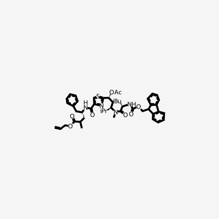 C=CCOC(=O)C(C)C[C@H](Cc1ccccc1)NC(=O)c1csc([C@@H](C[C@H](C(C)C)N(C)C(=O)[C@@H](NC(=O)OCC2c3ccccc3-c3ccccc32)C(C)CC)OC(C)=O)n1